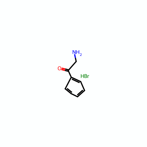 Br.NCC(=O)c1ccccc1